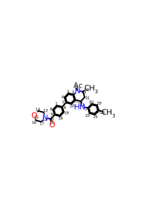 CC(=O)N1c2ccc(-c3ccc(C(=O)N4CCOCC4)cc3)cc2C(Nc2ccc(C)cc2)CC1C